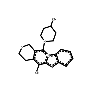 N#Cc1c2c(c(N3CCC(C#N)CC3)n3c1nc1ccccc13)CSCC2